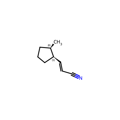 C[C@@H]1CCC[C@@H]1C=CC#N